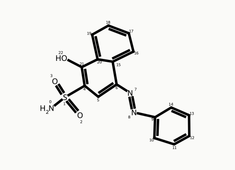 NS(=O)(=O)c1cc(N=Nc2ccccc2)c2ccccc2c1O